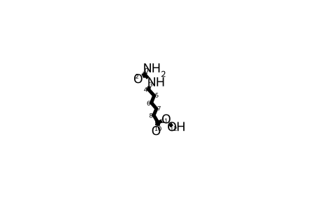 NC(=O)NCCCCCC(=O)OO